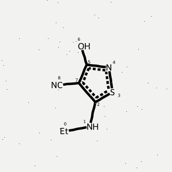 CCNc1snc(O)c1C#N